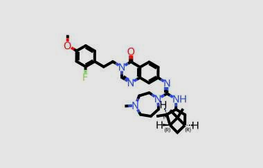 COc1ccc(CCn2cnc3cc(N=C(NC4C[C@H]5C[C@H]([C@H]4C)C5(C)C)N4CCCN(C)CC4)ccc3c2=O)c(F)c1